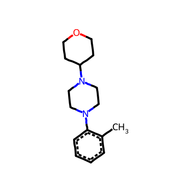 Cc1ccccc1N1CCN(C2CCOCC2)CC1